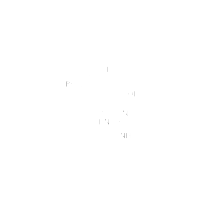 CN(CO)C(=N)NC(C)(c1ccccc1)c1cc(F)cc(Br)c1